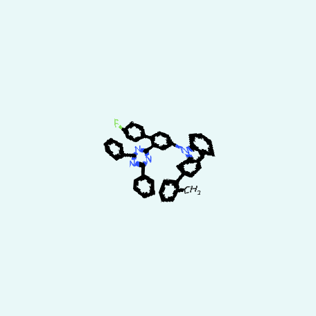 Cc1ccccc1-c1ccc2c3ccccc3n(-c3ccc(-c4ccc(F)cc4)c(-c4nc(-c5ccccc5)nc(-c5ccccc5)n4)c3)c2c1